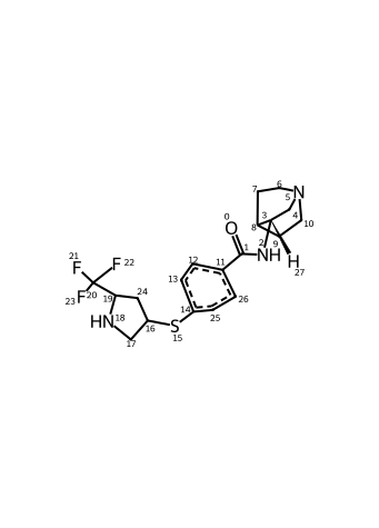 O=C(N[C@H]1CN2CCC1CC2)c1ccc(SC2CNC(C(F)(F)F)C2)cc1